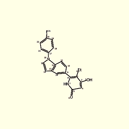 CCc1c(O)cc(=O)[nH]c1-c1ccc2c(ccn2-c2ccc(F)cc2)c1